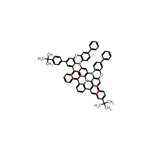 CC(C)(C)c1ccc(-c2cc3c4c(c2)N(c2ccccc2)c2cc5c(cc2B4c2ccc(-c4ccccc4)cc2O3)B2c3ccc(-c4ccccc4)cc3Oc3cc(-c4ccc(C(C)(C)C)cc4)cc(c32)N5c2c(-c3ccccc3)cccc2-c2ccccc2)cc1